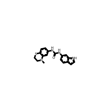 CN1CCSc2ccc(NC(=O)Nc3ccc4cc[nH]c4c3)cc21